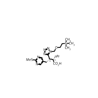 CCC[C@H](C(=O)O)[C@H](Cc1cnc(SC)nc1)c1nnnn1COCC[Si](C)(C)C